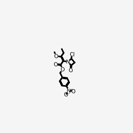 CCC(OC)=C(C(=O)OCc1ccc([N+](=O)[O-])cc1)N1C(=O)CC1Cl